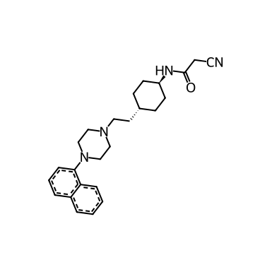 N#CCC(=O)N[C@H]1CC[C@H](CCN2CCN(c3cccc4ccccc34)CC2)CC1